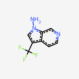 Nn1cc(C(F)(F)F)c2ccncc21